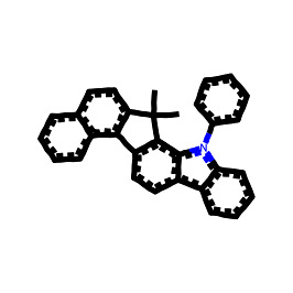 CC1(C)c2ccc3ccccc3c2-c2ccc3c4ccccc4n(-c4ccccc4)c3c21